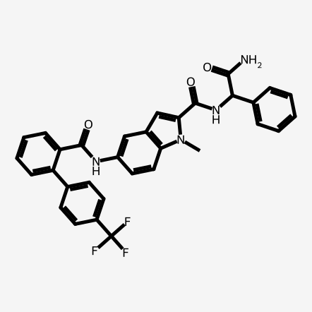 Cn1c(C(=O)NC(C(N)=O)c2ccccc2)cc2cc(NC(=O)c3ccccc3-c3ccc(C(F)(F)F)cc3)ccc21